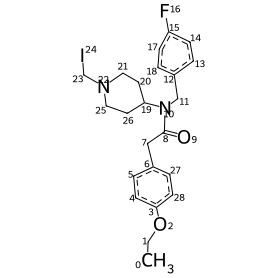 CCOc1ccc(CC(=O)N(Cc2ccc(F)cc2)C2CCN(CI)CC2)cc1